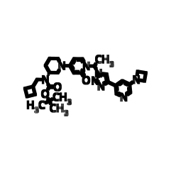 CC(n1cc(-c2cncc(N3CCC3)c2)nn1)n1ccc(N2CCC[C@@H](N(CC3CCC3)C(=O)OC(C)(C)C)C2)cc1=O